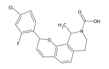 CC1c2c(ccc3c2OC(c2ccc(Cl)cc2F)C=C3)CCN1C(=O)O